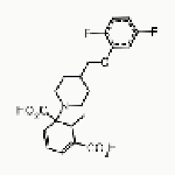 CC1C(C(=O)O)=CC=CC1(C(=O)O)N1CCC(COc2cc(F)ccc2F)CC1